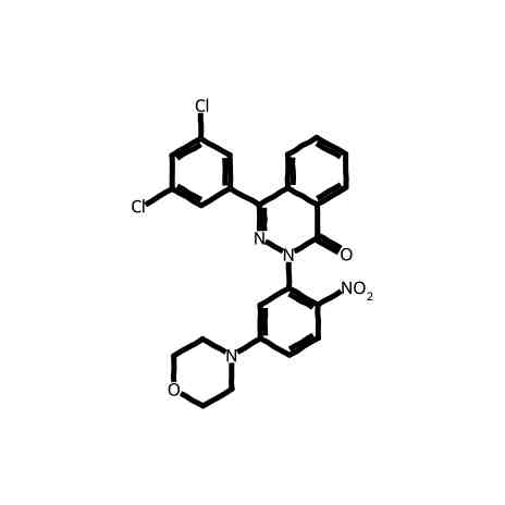 O=c1c2ccccc2c(-c2cc(Cl)cc(Cl)c2)nn1-c1cc(N2CCOCC2)ccc1[N+](=O)[O-]